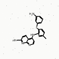 CCCc1ccc2c(Nc3cc(C)ccc3Sc3cccc(N)c3)ccnc2n1